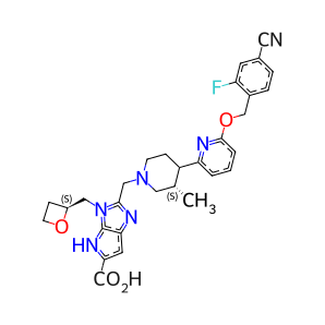 C[C@@H]1CN(Cc2nc3cc(C(=O)O)[nH]c3n2C[C@@H]2CCO2)CCC1c1cccc(OCc2ccc(C#N)cc2F)n1